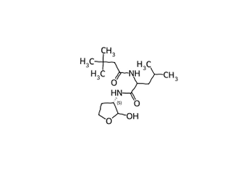 CC(C)CC(NC(=O)CC(C)(C)C)C(=O)N[C@H]1CCOC1O